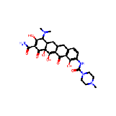 CN1CCN(C(=O)Nc2ccc3c(c2O)C(=O)C2=C(O)C4(O)C(=O)C(C(N)=O)=C(O)C(N(C)C)C4CC2C3)CC1